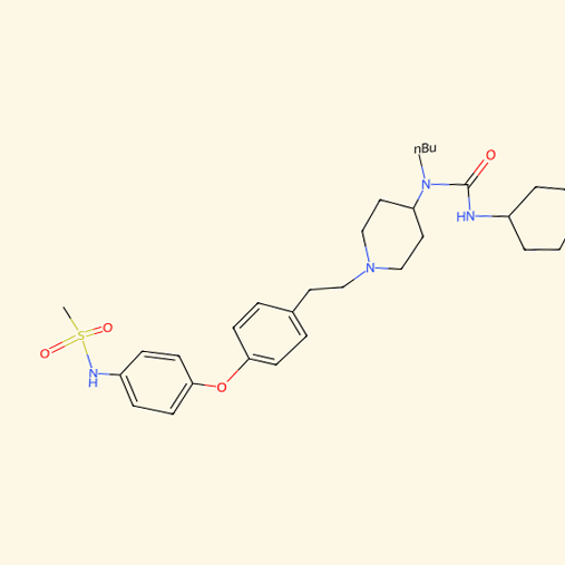 CCCCN(C(=O)NC1CCCCC1)C1CCN(CCc2ccc(Oc3ccc(NS(C)(=O)=O)cc3)cc2)CC1